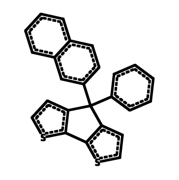 c1ccc(C2(c3ccc4ccccc4c3)c3ccsc3-c3sccc32)cc1